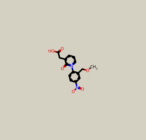 COCc1cc([N+](=O)[O-])ccc1-n1cccc(CC(=O)O)c1=O